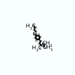 CCCCOc1ccc(CCC(C)N(C)C)cc1